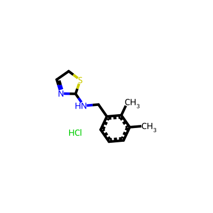 Cc1cccc(CNC2N=CCS2)c1C.Cl